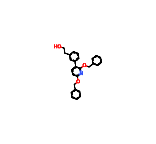 OCCc1cccc(-c2ccc(OCc3ccccc3)nc2OCc2ccccc2)c1